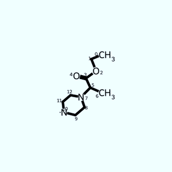 CCOC(=O)C(C)N1CC[N]CC1